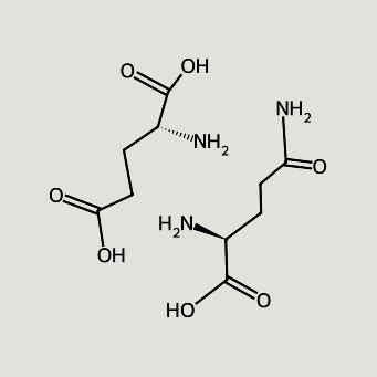 NC(=O)CC[C@H](N)C(=O)O.N[C@H](CCC(=O)O)C(=O)O